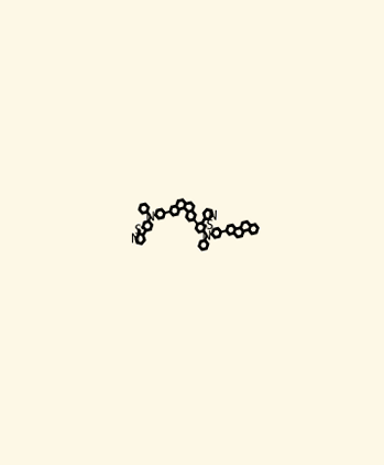 c1ccc(N(c2ccc(-c3ccc4c(ccc5ccc6cc(-c7ccc(N(c8ccccc8)c8ccc(-c9ccc%10c(ccc%11c%12ccccc%12ccc%10%11)c9)cc8)c8sc9ncccc9c78)ccc6c54)c3)cc2)c2ccc3c(c2)sc2ncccc23)cc1